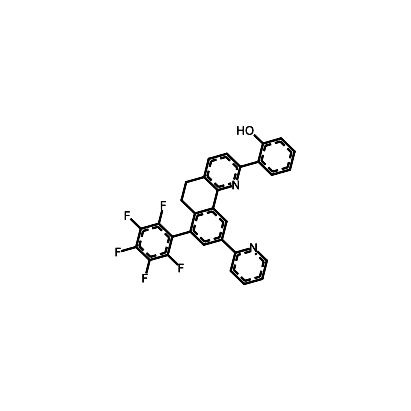 Oc1ccccc1-c1ccc2c(n1)-c1cc(-c3ccccn3)cc(-c3c(F)c(F)c(F)c(F)c3F)c1CC2